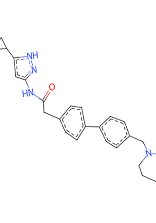 O=C(Cc1ccc(-c2ccc(CN3CCCCC3)cc2)cc1)Nc1cc(C2CC2)[nH]n1